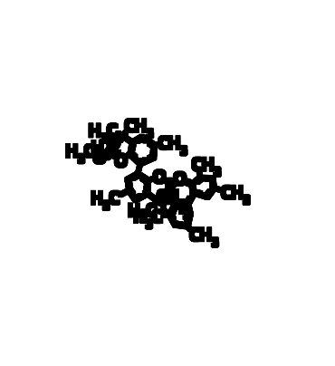 COC(=O)Oc1c(-c2cc(C)cc(C(C)(C)C)c2Op2oc3c(C)cc(C)cc3c3cc(C)cc(C)c3o2)cc(C)cc1C(C)(C)C